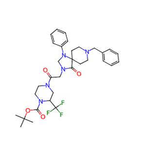 CC(C)(C)OC(=O)N1CCN(C(=O)CN2CN(c3ccccc3)C3(CCN(Cc4ccccc4)CC3)C2=O)CC1C(F)(F)F